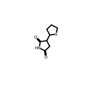 O=C1CC(C2CCCS2)C(=O)N1